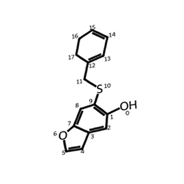 Oc1cc2ccoc2cc1SCC1=CC=CCC1